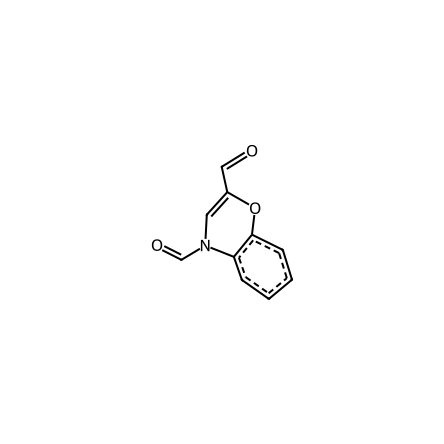 O=CC1=CN(C=O)c2ccccc2O1